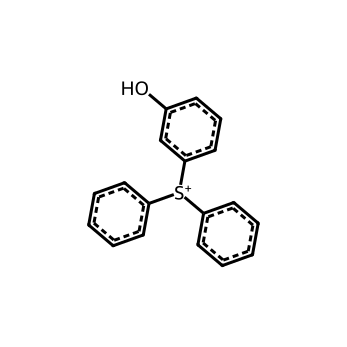 Oc1cccc([S+](c2ccccc2)c2ccccc2)c1